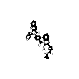 C[C@@H]1C(c2ccc(C(=O)NC3CC3)s2)=Nc2ccccc2N1C(=O)c1ccc(NC(=O)c2cc3c(nc2N2CC4(CCOCC4)C2)CCC3)cc1